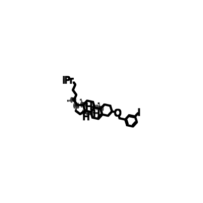 CC(C)CCC[C@@H](C)[C@H]1CC[C@H]2[C@@H]3CC=C4CC(OCc5cccc(I)c5)CC[C@]4(C)[C@H]3CC[C@]12C